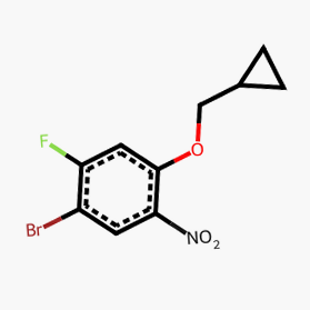 O=[N+]([O-])c1cc(Br)c(F)cc1OCC1CC1